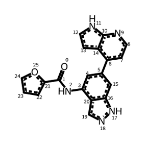 O=C(Nc1cc(-c2ccnc3[nH]ccc23)cc2[nH]ncc12)c1ccco1